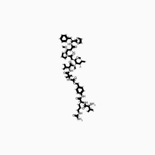 CC[C@H](C)[C@@H]([C@@H](CC(=O)N1CCC[C@H]1[C@H](OC)[C@@H](C)C(=O)N[C@@H](Cc1ccccc1)c1nccs1)OC)N(C)C(=O)[C@@H](NC(=O)C(C)(C)NC(=O)OCc1ccc(NC(=O)[C@H](CCCNC(N)=O)NC(=O)[C@@H](N)C(C)C)cc1)C(C)C